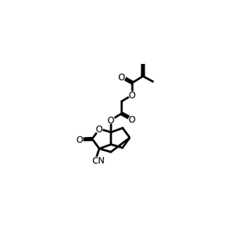 C=C(C)C(=O)OCC(=O)OC12CC3CC1C(C#N)(C3)C(=O)O2